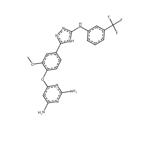 COc1cc(-c2nnc(Nc3cccc(C(F)(F)F)c3)[nH]2)ccc1Oc1cc(N)nc(N)n1